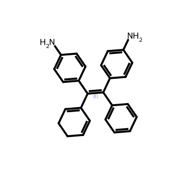 Nc1ccc(/C(C2=CCCC=C2)=C(/c2ccccc2)c2ccc(N)cc2)cc1